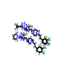 Fc1ccc(CCN2CCN(c3nc(N4CCCC4)ns3)CC2)cc1F.Fc1ccc(CCN2CCN(c3nc(NCC4CC4)ns3)CC2)cc1F